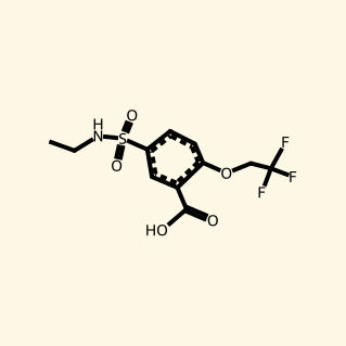 CCNS(=O)(=O)c1ccc(OCC(F)(F)F)c(C(=O)O)c1